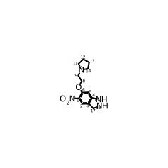 O=[N+]([O-])c1cc2c(cc1OCCN1CCCC1)NNC2